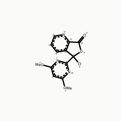 COc1cc(OC)nc(C2(Cl)OC(=O)c3ncccc32)n1